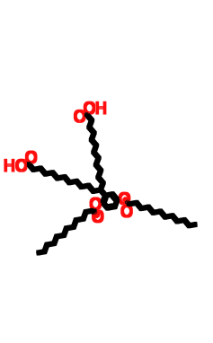 CCCCCCCCCCCC(=O)Oc1ccc(OC(=O)CCCCCCCCCCC)c(C(CCCCCCCCCCCC(=O)O)CCCCCCCCCCCC(=O)O)c1